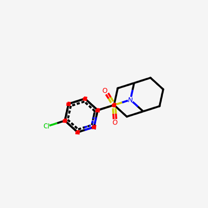 O=S(=O)(c1ccc(Cl)cc1)N1C2CCCC1CC(c1ccccn1)C2